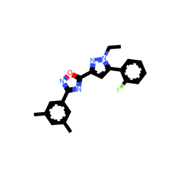 CCn1nc(-c2nc(-c3cc(C)cc(C)c3)no2)cc1-c1ccccc1F